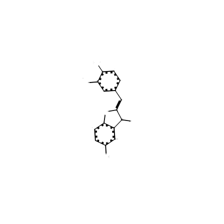 O=CC1/C(=C/c2ccc(O)c(O)c2)Oc2ccc(O)cc21